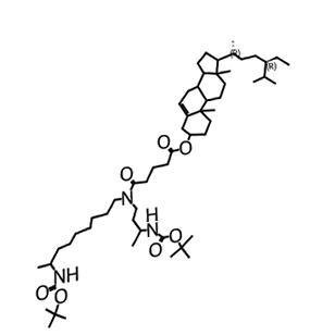 CC[C@H](CC[C@@H](C)C1CCC2C3CC=C4CC(OC(=O)CCCC(=O)N(CCCCCCCC(C)NC(=O)OC(C)(C)C)CCC(C)NC(=O)OC(C)(C)C)CCC4(C)C3CCC21C)C(C)C